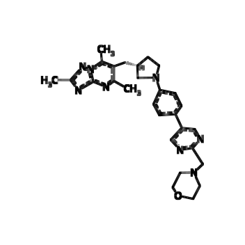 Cc1nc2nc(C)c(C[C@@H]3CCN(c4ccc(-c5cnc(CN6CCOCC6)nc5)cc4)C3)c(C)n2n1